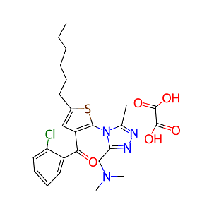 CCCCCCc1cc(C(=O)c2ccccc2Cl)c(-n2c(C)nnc2CN(C)C)s1.O=C(O)C(=O)O